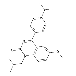 COc1ccc2c(c1)c(-c1ccc(C(C)C)cc1)nc(=O)n2CC(C)C